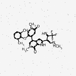 CN/C=C(\C(=N)C(F)(F)F)c1cc2c(-c3cc(=O)n(C)cc3Oc3c(C)cccc3C)cn(C)c(=O)c2[nH]1